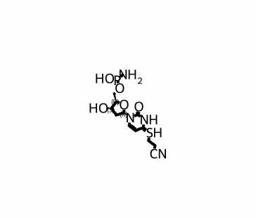 N#CCC[SH]=c1ccn([C@H]2C[C@H](O)[C@@H](COP(N)O)O2)c(=O)[nH]1